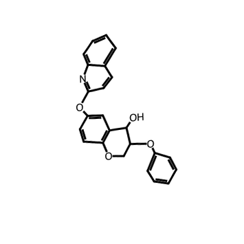 OC1c2cc(Oc3ccc4ccccc4n3)ccc2OCC1Oc1ccccc1